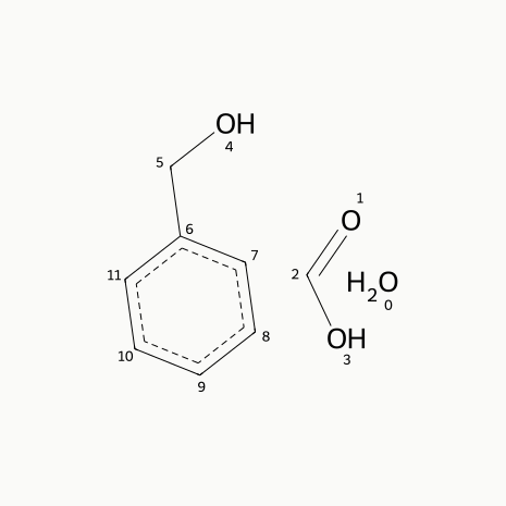 O.O=CO.OCc1ccccc1